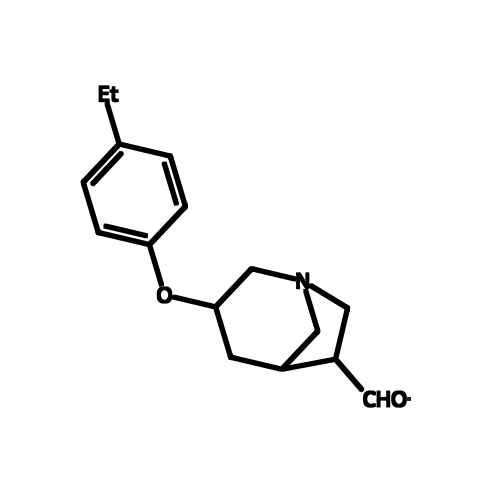 CCc1ccc(OC2CC3CN(C2)CC3[C]=O)cc1